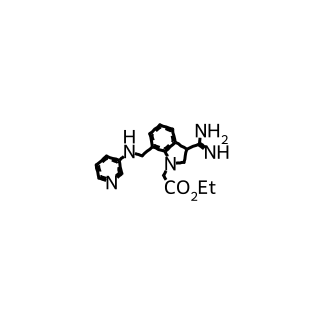 CCOC(=O)CN1CC(C(=N)N)c2cccc(CNc3cccnc3)c21